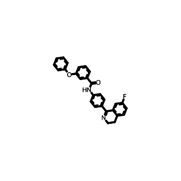 O=C(Nc1ccc(C2=NCCc3ccc(F)cc32)cc1)c1cccc(Oc2ccccc2)c1